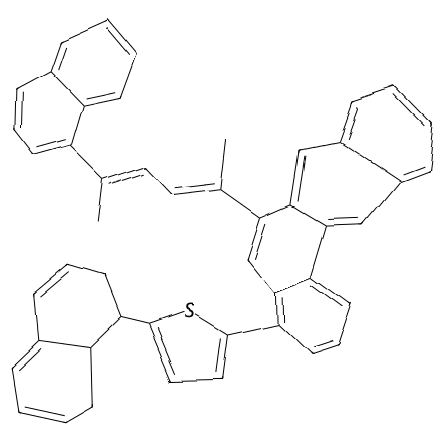 C/C(=C\C=C(/C)c1cc2c(-c3ccc(C4CC=CC5=CC=CCC54)s3)cccc2c2cc3ccccc3cc12)c1cccc2ccccc12